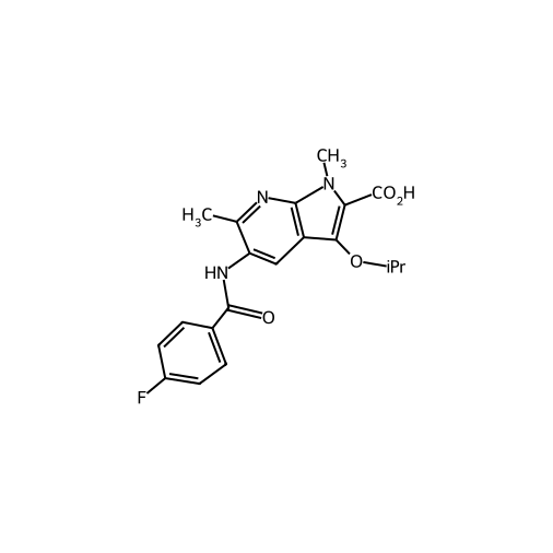 Cc1nc2c(cc1NC(=O)c1ccc(F)cc1)c(OC(C)C)c(C(=O)O)n2C